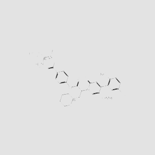 COc1cn(C(C[C@@H]2CCCCO2)C(=O)Nc2ccc(C(=O)O[C@H](C)[C@H](N)C(=O)O)cc2)c(=O)cc1-c1cc(Cl)ccc1C#N